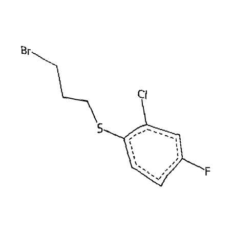 Fc1ccc(SCCCBr)c(Cl)c1